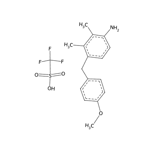 COc1ccc(Cc2ccc(N)c(C)c2C)cc1.O=S(=O)(O)C(F)(F)F